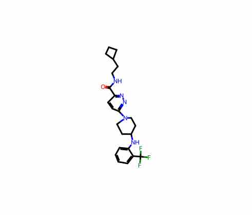 O=C(NCCC1CCC1)c1ccc(N2CCC(Nc3ccccc3C(F)(F)F)CC2)nn1